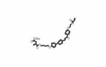 C=CC(=O)OCCOc1ccc(C(=O)/C=C/c2ccc(-c3ccc(OCCCCOC(=O)C(=C)CC(=O)OC)cc3)cc2)cc1